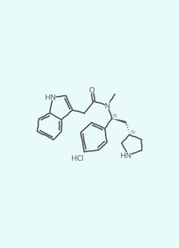 CN(C(=O)Cc1c[nH]c2ccccc12)[C@@H](C[C@@H]1CCNC1)c1ccccc1.Cl